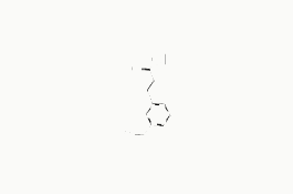 O=C(O)C=Cc1cccc(CBr)c1